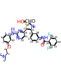 CN(C)CCOc1cccc(Nc2nccc(-c3scnc3-c3cccc(NC(=O)c4c(F)cccc4F)c3)n2)c1.O=CO